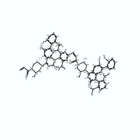 C=CC(=O)N1C[C@H](C)N(C2=NC(O)N(c3c(C(C)C)nc(/C=C\C(=O)N4C[C@H](C)N(c5nc(=O)n(-c6c(C(C)C)ncnc6C(C)C)c6nc(-c7ccccc7F)c(F)cc56)C[C@H]4C)nc3C(C)C)c3nc(-c4c(N)cccc4F)c(Cl)cc32)C[C@H]1C